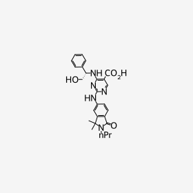 CCCN1C(=O)c2ccc(Nc3ncc(C(=O)O)c(N[C@H](CO)c4ccccc4)n3)cc2C1(C)C